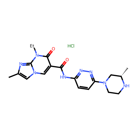 CCn1c(=O)c(C(=O)Nc2ccc(N3CCN[C@@H](C)C3)nn2)cn2cc(C)nc12.Cl